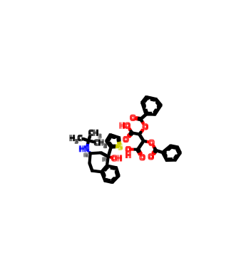 CC(C)(C)N[C@H]1CCc2ccccc2[C@@](O)(c2cccs2)C1.O=C(OC(C(=O)O)C(OC(=O)c1ccccc1)C(=O)O)c1ccccc1